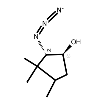 CC1C[C@H](O)[C@@H](N=[N+]=[N-])C1(C)C